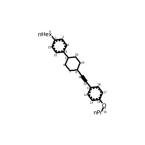 CCCCCCc1ccc(C2CCC(C#Cc3ccc(OCCC)cc3)CC2)cc1